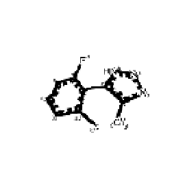 Cc1nn[nH]c1-c1c(F)cccc1F